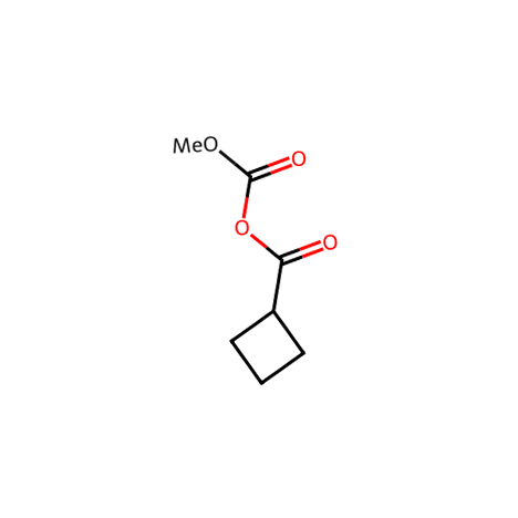 COC(=O)OC(=O)C1CCC1